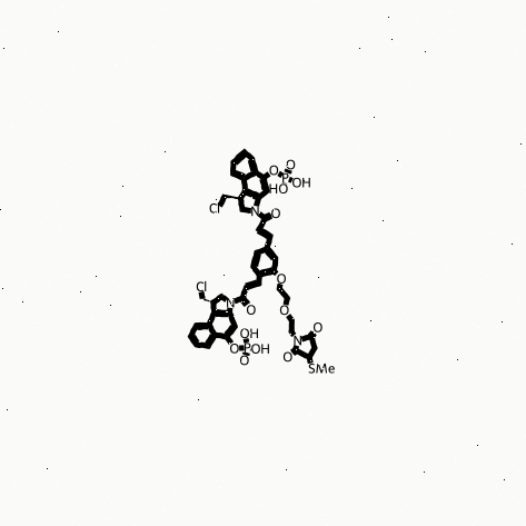 CSC1CC(=O)N(CCOCCOc2cc(/C=C/C(=O)N3C[C@@H](CCl)c4c3cc(OP(=O)(O)O)c3ccccc43)ccc2/C=C/C(=O)N2C[C@@H](CCl)c3c2cc(OP(=O)(O)O)c2ccccc32)C1=O